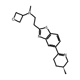 C[C@H]1CCC(c2ccc3sc(CCN(C)C4COC4)nc3c2)=NC1